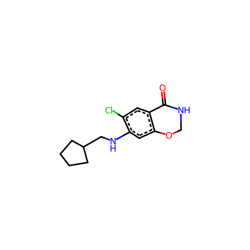 O=C1NCOc2cc(NCC3CCCC3)c(Cl)cc21